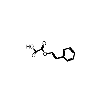 O=C(O)C(=O)OC=Cc1ccccc1